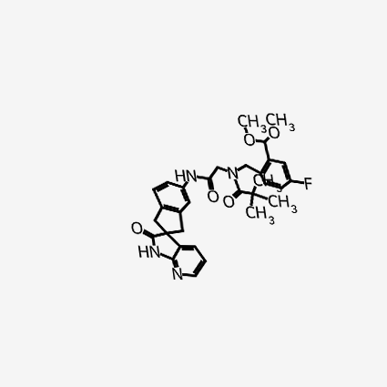 COC(OC)c1cc(F)ccc1CN(CC(=O)Nc1ccc2c(c1)CC1(C2)C(=O)Nc2ncccc21)C(=O)C(C)(C)C